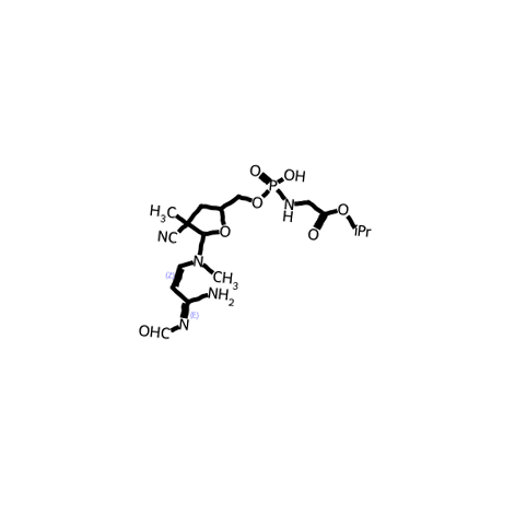 CC(C)OC(=O)CNP(=O)(O)OCC1CC(C)(C#N)C(N(C)/C=C\C(N)=N/C=O)O1